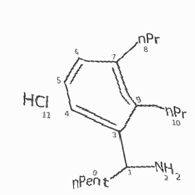 CCCCCC(N)c1cccc(CCC)c1CCC.Cl